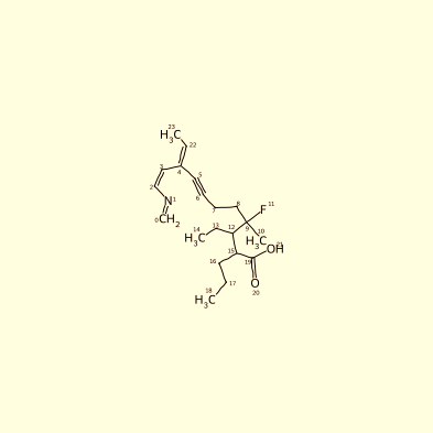 C=N/C=C\C(C#CCCC(C)(F)C(CC)C(CCC)C(=O)O)=C/C